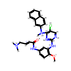 COc1ccc(NC(=O)/C=C/CN(C)C)cc1Nc1ncc(Cl)c(N(C)c2ccc3ccccc3c2)n1